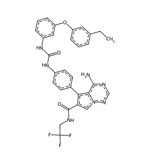 CCc1cccc(Oc2cccc(NC(=O)Nc3ccc(-c4c(C(=O)NCC(F)(F)F)cn5ncnc(N)c45)cc3)c2)c1